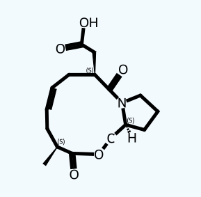 C[C@H]1CC=CC[C@@H](CC(=O)O)C(=O)N2CCC[C@H]2COC1=O